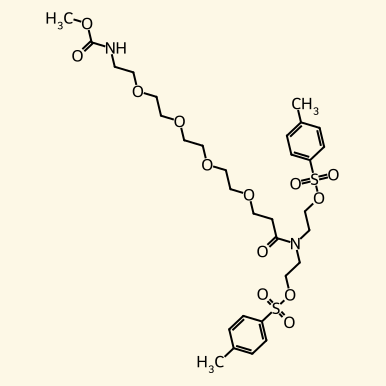 COC(=O)NCCOCCOCCOCCOCCC(=O)N(CCOS(=O)(=O)c1ccc(C)cc1)CCOS(=O)(=O)c1ccc(C)cc1